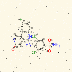 NS(=O)(=O)c1cc(Cl)c(Nc2nc3ccc(F)cc3c3c2=CC(=O)[N]C=3)c(Cl)c1